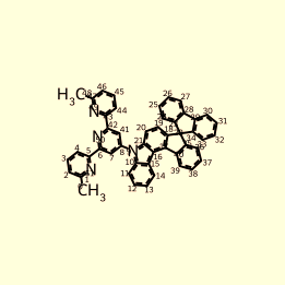 Cc1cccc(-c2cc(-n3c4ccccc4c4c5c(ccc43)C3(c4ccccc4-c4ccccc43)c3ccccc3-5)cc(-c3cccc(C)n3)n2)n1